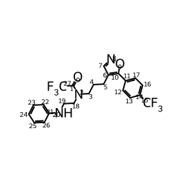 O=C(N(CCCc1cnoc1-c1ccc(C(F)(F)F)cc1)CCNc1ccccc1)C(F)(F)F